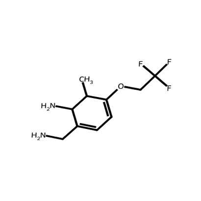 CC1C(OCC(F)(F)F)=CC=C(CN)C1N